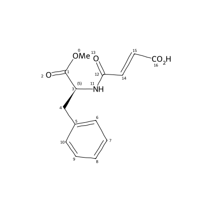 COC(=O)[C@H](Cc1ccccc1)NC(=O)C=CC(=O)O